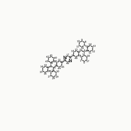 c1ccc(C(=C(c2ccccc2)c2ccc(-c3cnc(-c4ccc(C(c5ccccc5)C(c5ccccc5)c5ccccc5)cc4)cn3)cc2)c2ccccc2)cc1